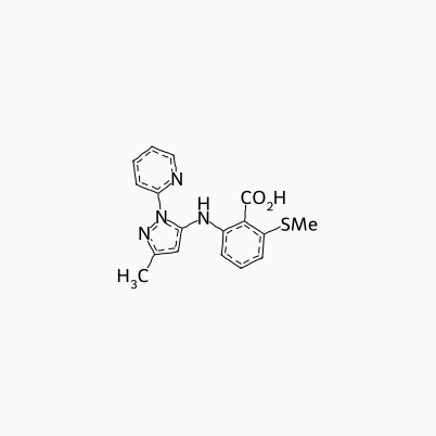 CSc1cccc(Nc2cc(C)nn2-c2ccccn2)c1C(=O)O